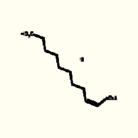 CCCCCCCC/C=C\CCCCCCCC(=O)O.[S]